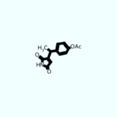 CC(=O)Oc1ccc(C(C)C2=CC(=O)NC2=O)cc1